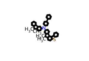 CC1(C)c2ccccc2-c2cc(N(c3ccc(-c4ccccc4)cc3)c3ccc4c(c3)C(C)(C)c3ccc5sc6ccccc6c5c3-4)ccc21